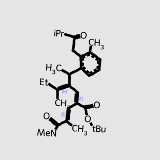 CC/C(C)=C(/C=C(\C=C(/C)C(=O)NC)C(=O)OC(C)(C)C)C(C)c1cccc(C)c1CC(=O)C(C)C